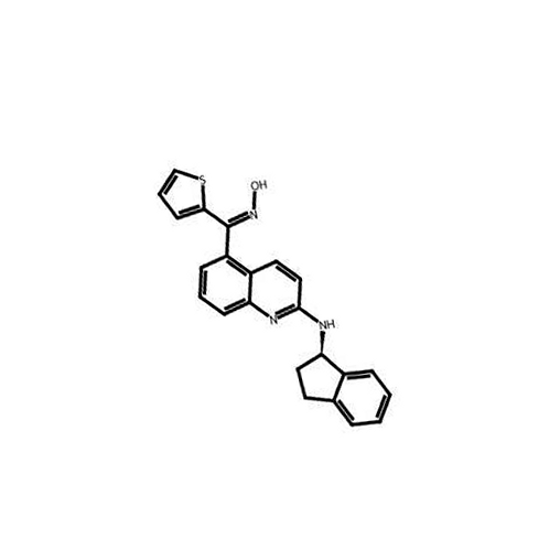 ON=C(c1cccs1)c1cccc2nc(N[C@@H]3CCc4ccccc43)ccc12